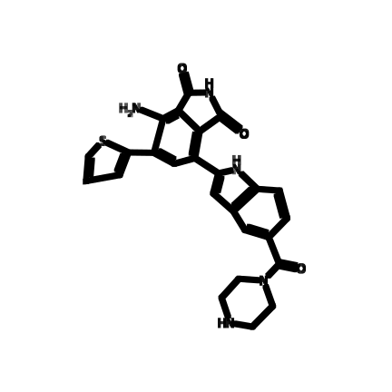 Nc1c(-c2cccs2)cc(-c2cc3cc(C(=O)N4CCNCC4)ccc3[nH]2)c2c1C(=O)NC2=O